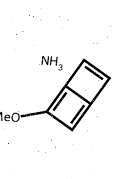 COc1cc2ccc1-2.N